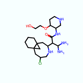 NC(N)C(C(=O)NC1CNCCC1OCCO)C1CC23CCCCC2(CC(Cl)CN1)C3